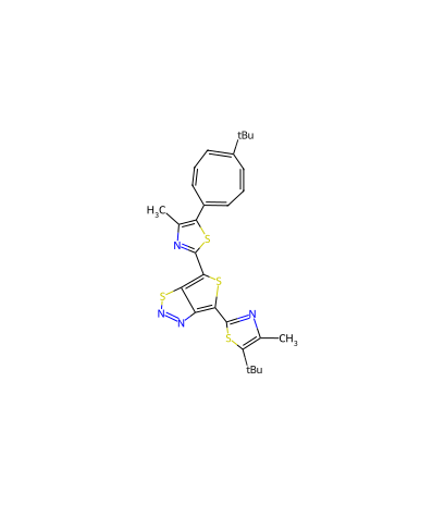 Cc1nc(-c2sc(-c3nc(C)c(C(C)(C)C)s3)c3nnsc23)sc1C1=C/C=C\C(C(C)(C)C)=C/C=C\1